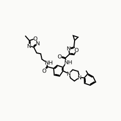 Cc1nc(CCCNC(=O)c2ccc(N3CCN(c4ccccc4C)CC3)c(NC(=O)c3coc(C4CC4)n3)c2)no1